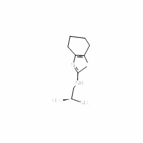 C[C@H](N)CNc1nc2c(s1)CCCC2